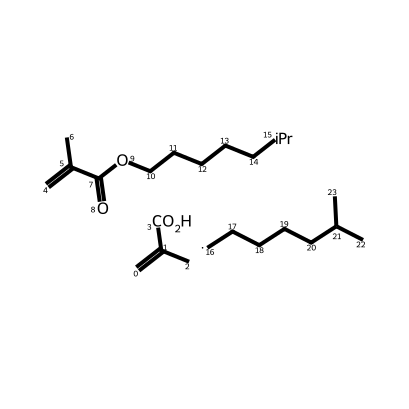 C=C(C)C(=O)O.C=C(C)C(=O)OCCCCCC(C)C.[CH2]CCCCC(C)C